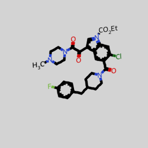 CCOC(=O)n1cc(C(=O)C(=O)N2CCN(C)CC2)c2cc(C(=O)N3CCC(Cc4ccc(F)cc4)CC3)c(Cl)cc21